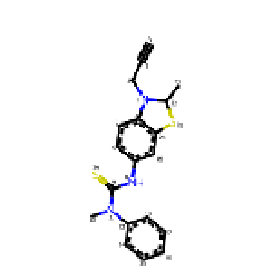 C#CCN1c2ccc(NC(=S)N(C)c3ccccc3)cc2SC1C